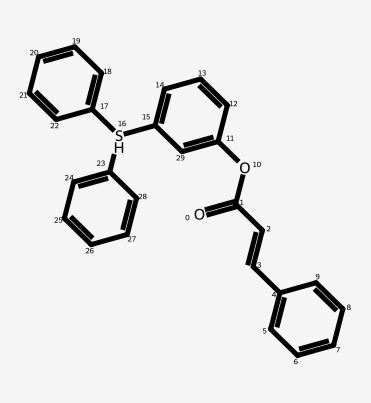 O=C(/C=C/c1ccccc1)Oc1cccc([SH](c2ccccc2)c2ccccc2)c1